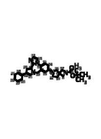 CC(C)(C)OC(=O)N1CC2(CCN(c3ccc4c(c3)Cn3cc(-c5ccccc5)cc3-c3nccn3-4)C2)C1